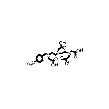 Nc1ccc(CN(CCN(CCN(CC(=O)O)CC(=O)O)CC(=O)O)CC(=O)O)cc1